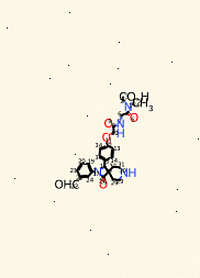 CN(CC(=O)O)C(=O)CNC(=O)COc1ccc(C2N(c3cccc(C=O)c3)C(=O)C23CCNCC3)cc1